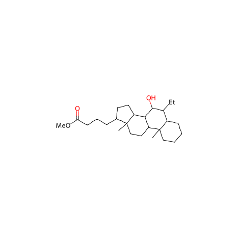 CCC1C(O)C2C3CCC(CCCC(=O)OC)C3(C)CCC2C2(C)CCCCC12